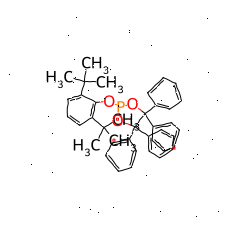 CC(C)(C)c1cccc(C(C)(C)C)c1OP1OC(c2ccccc2)(c2ccccc2)C(c2ccccc2)(c2ccccc2)O1